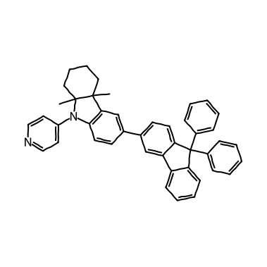 CC12CCCCC1(C)N(c1ccncc1)c1ccc(-c3ccc4c(c3)-c3ccccc3C4(c3ccccc3)c3ccccc3)cc12